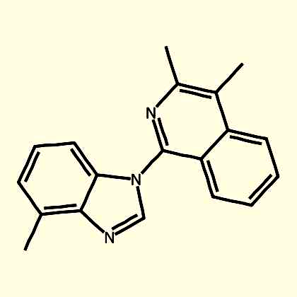 Cc1nc(-n2cnc3c(C)cccc32)c2ccccc2c1C